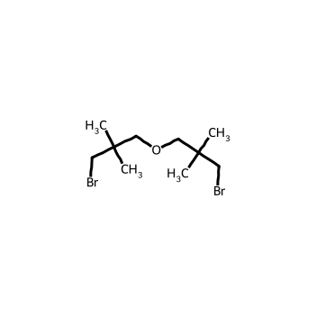 CC(C)(CBr)COCC(C)(C)CBr